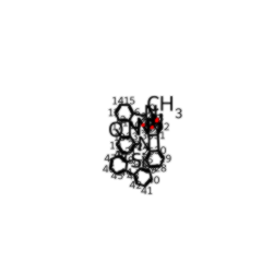 Cn1c2[n+](c3ncncc31)[N+]13c4c(cccc4-2)Oc2ccc4c(c21)-n1c2c(cccc2c2ccc[n+]3c21)[Si]41c2ccccc2-c2ccccc21